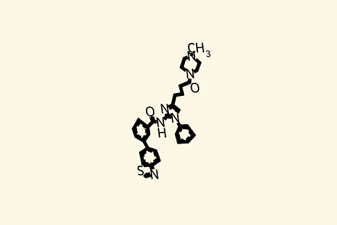 CN1CCN(C(=O)CCCc2cn(-c3ccccc3)c(NC(=O)c3cccc(-c4ccc5ncsc5c4)c3)n2)CC1